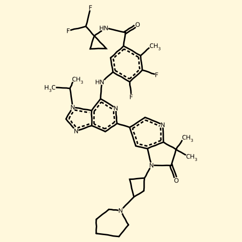 Cc1c(C(=O)NC2(C(F)F)CC2)cc(Nc2nc(-c3cnc4c(c3)N(C3CC(N5CCCCC5)C3)C(=O)C4(C)C)cc3ncn(C(C)C)c23)c(F)c1F